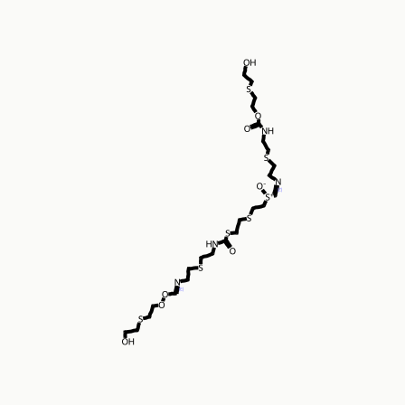 O=C(NCCSCC/N=C\[S+]([O-])CCSCCSC(=O)NCCSCC/N=C/OOCCSCCO)OCCSCCO